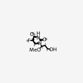 COC(CCO)n1cc(F)c(=O)[nH]c1=O